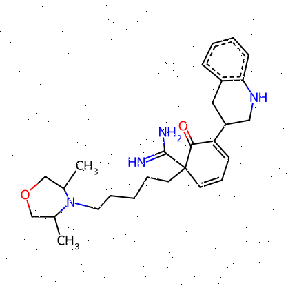 CC1COCC(C)N1CCCCCC1(C(=N)N)C=CC=C(C2CNc3ccccc3C2)C1=O